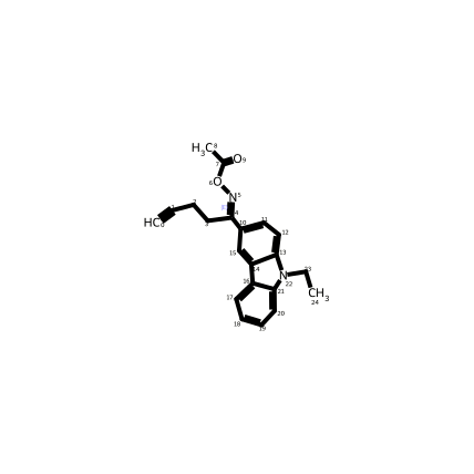 C#CCC/C(=N\OC(C)=O)c1ccc2c(c1)c1ccccc1n2CC